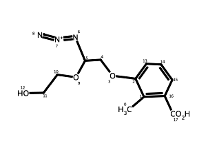 Cc1c(OCC(N=[N+]=[N-])OCCO)cccc1C(=O)O